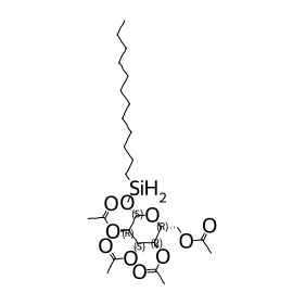 CCCCCCCCCCCC[SiH2]O[C@@H]1O[C@H](COC(C)=O)[C@@H](OC(C)=O)[C@H](OC(C)=O)[C@H]1OC(C)=O